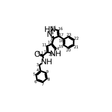 O=C(NCc1ccccc1)c1cc(-c2n[nH]cc2-c2ccccc2)c[nH]1